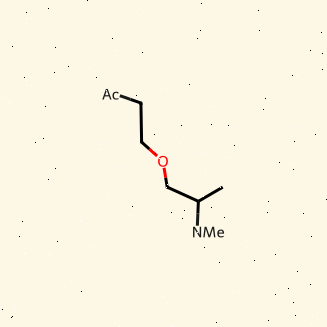 CNC(C)COCCC(C)=O